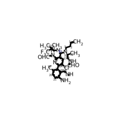 C=CCCN(/C(=N/CC(C)(C)C(F)(F)F)c1cc(Cl)c(-c2c(C)ccc(N)c2C=N)nc1NC=O)C(C)CNC=O